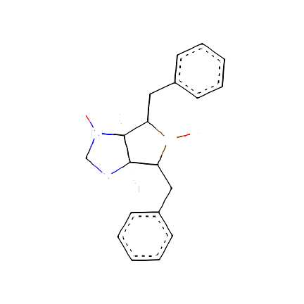 [O-][NH+]1CN[C@@H]2C(Cc3ccccc3)[S+]([O-])C(Cc3ccccc3)[C@@H]21